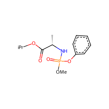 COP(=O)(N[C@@H](C)C(=O)OC(C)C)Oc1ccccc1